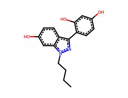 CCCCn1nc(-c2ccc(O)cc2O)c2ccc(O)cc21